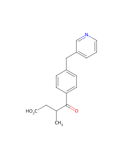 CC(CC(=O)O)C(=O)c1ccc(Cc2cccnc2)cc1